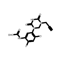 C#CCN1CN(c2cc(NC(=O)C=O)c(F)cc2Cl)C(=O)NC1=O